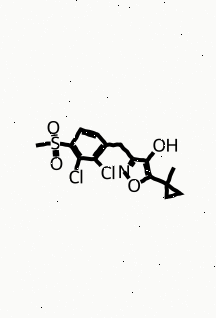 CC1(c2onc(Cc3ccc(S(C)(=O)=O)c(Cl)c3Cl)c2O)CC1